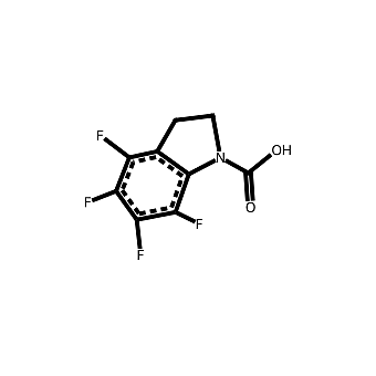 O=C(O)N1CCc2c(F)c(F)c(F)c(F)c21